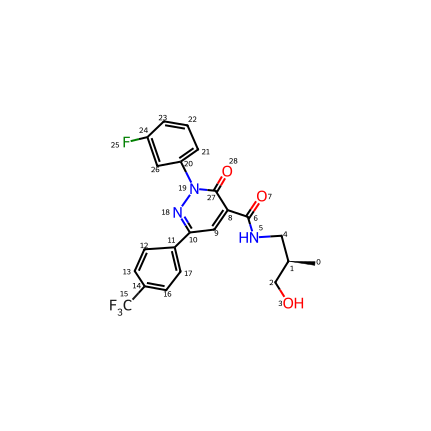 C[C@@H](CO)CNC(=O)c1cc(-c2ccc(C(F)(F)F)cc2)nn(-c2cccc(F)c2)c1=O